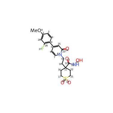 COc1ccc(-c2ccn(CCC3(C(=O)NO)CCS(=O)(=O)CC3)c(=O)c2)c(F)c1